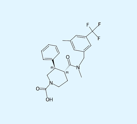 Cc1cc(CN(C)C(=O)[C@@H]2CCN(C(=O)O)C[C@H]2c2ccccc2)cc(C(F)(F)F)c1